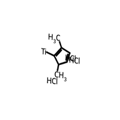 CC1=[C]([Ti])C(C)C=C1.Cl.Cl.Cl